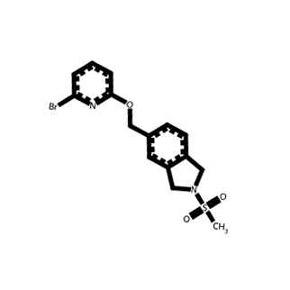 CS(=O)(=O)N1Cc2ccc(COc3cccc(Br)n3)cc2C1